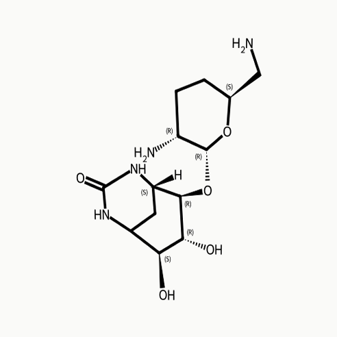 NC[C@@H]1CC[C@@H](N)[C@@H](O[C@H]2[C@H](O)[C@@H](O)C3C[C@@H]2NC(=O)N3)O1